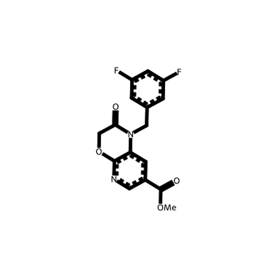 COC(=O)c1cnc2c(c1)N(Cc1cc(F)cc(F)c1)C(=O)CO2